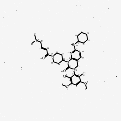 COc1cc(OC)c(Cl)c(N2Cc3cnc(NC4CCCCC4)nc3N(C3CCN(C(=O)/C=C/CN(C)C)CC3)C2=O)c1Cl